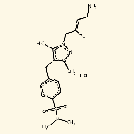 Cc1nn(CC(F)=CCN)c(C)c1Cc1ccc(S(=O)(=O)N(C)C)cc1.Cl